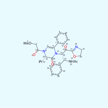 COCC(=O)N1C=C(c2ccccc2)N([C@H](C(=O)C2=NCCO2)C(NC(C)=O)c2ccccc2)C(=O)[C@@H]1C(C)C